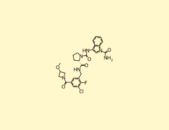 COC1CN(C(=O)c2cc(Cl)c(F)c(CNC(=O)[C@@H]3CCCN3C(=O)Nc3cn(C(N)=O)c4ccccc34)c2)C1